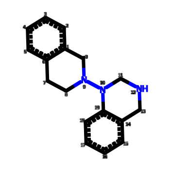 [C]1c2ccccc2CCN1N1CNCc2ccccc21